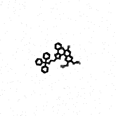 COc1nc2cc(Cl)c(Cl)c(-c3nn(CCOC(c4ccccc4)(c4ccccc4)c4ccccc4)nc3-c3ccccc3)c2nc1OC